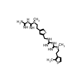 Cc1sccc1CCN(C)C(=N)NC(=N)NCc1cc(CCN(C)C(=N)NC(=N)N)cs1